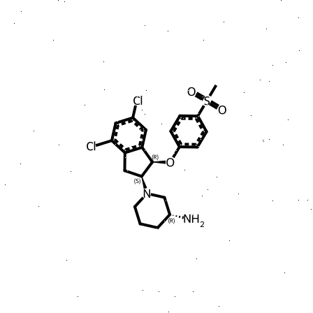 CS(=O)(=O)c1ccc(O[C@@H]2c3cc(Cl)cc(Cl)c3C[C@@H]2N2CCC[C@@H](N)C2)cc1